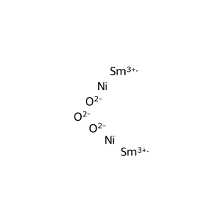 [Ni].[Ni].[O-2].[O-2].[O-2].[Sm+3].[Sm+3]